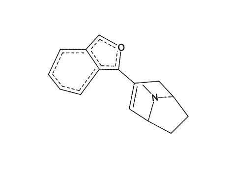 CN1C2C=C(c3occ4ccccc34)CC1CC2